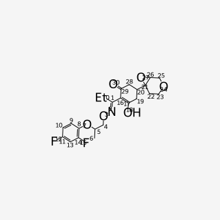 CCC(=NOCC(C)Oc1ccc(F)cc1F)C1=C(O)CC(C23CCOCC2O3)CC1=O